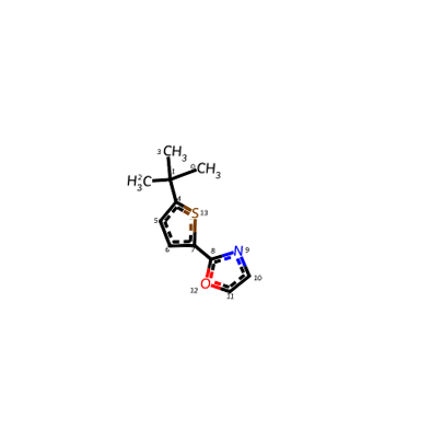 CC(C)(C)c1ccc(-c2ncco2)s1